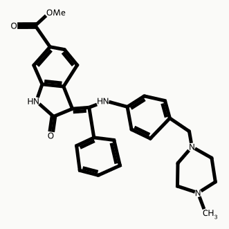 COC(=O)c1ccc2c(c1)NC(=O)C2=C(Nc1ccc(CN2CCN(C)CC2)cc1)c1ccccc1